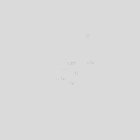 CNC(=O)c1nc(-c2cccc(CNC3CCc4cc(Br)ccc43)c2)cnc1N